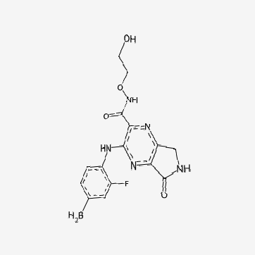 Bc1ccc(Nc2nc3c(nc2C(=O)NOCCO)CNC3=O)c(F)c1